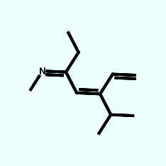 C=C/C(=C\C(CC)=N/C)C(C)C